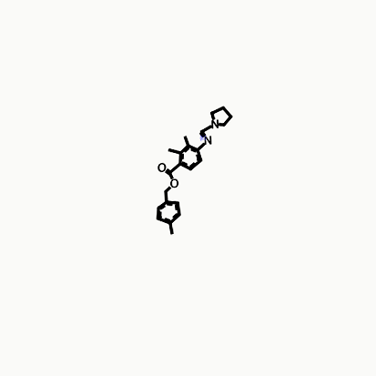 Cc1ccc(COC(=O)c2ccc(/N=C/N3CCCC3)c(C)c2C)cc1